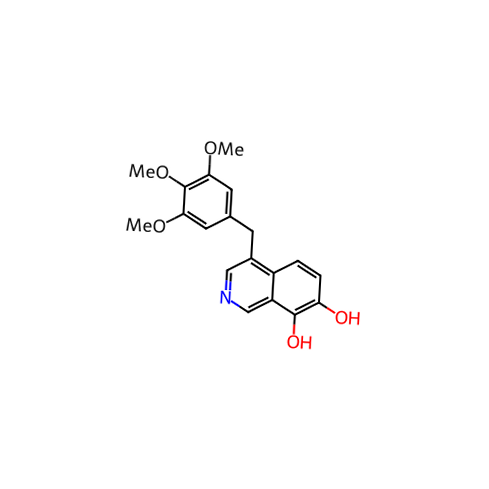 COc1cc(Cc2cncc3c(O)c(O)ccc23)cc(OC)c1OC